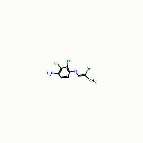 CC(Br)=CNc1ccc(N)c(Br)c1Br